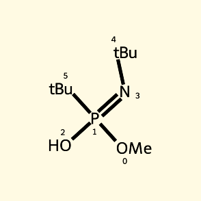 COP(O)(=NC(C)(C)C)C(C)(C)C